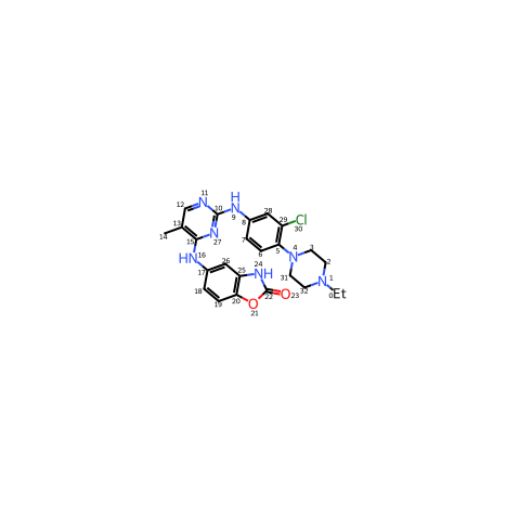 CCN1CCN(c2ccc(Nc3ncc(C)c(Nc4ccc5oc(=O)[nH]c5c4)n3)cc2Cl)CC1